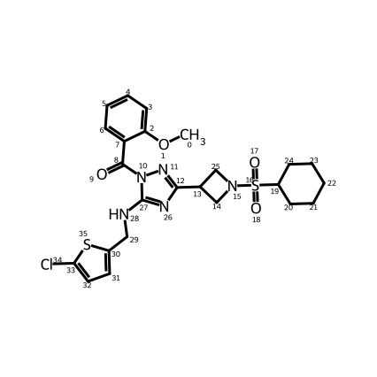 COc1ccccc1C(=O)n1nc(C2CN(S(=O)(=O)C3CCCCC3)C2)nc1NCc1ccc(Cl)s1